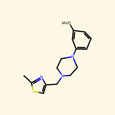 COc1cccc(N2CCN(Cc3csc(C)n3)CC2)c1